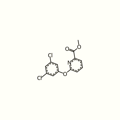 COC(=O)c1cccc(Oc2cc(Cl)cc(Cl)c2)n1